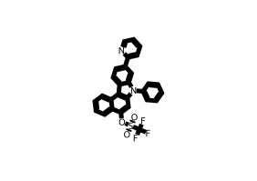 O=S(=O)(Oc1cc2c(c3ccccc13)c1ccc(-c3ccccn3)cc1n2-c1ccccc1)C(F)(F)F